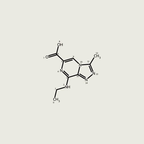 CCNc1nc(C(=O)O)cn2c(C)nnc12